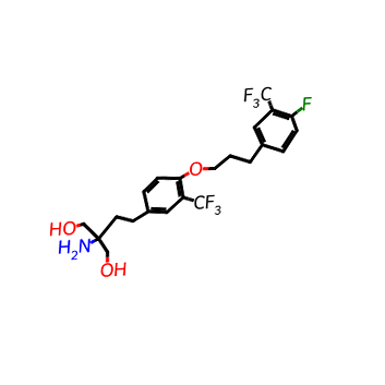 NC(CO)(CO)CCc1ccc(OCCCc2ccc(F)c(C(F)(F)F)c2)c(C(F)(F)F)c1